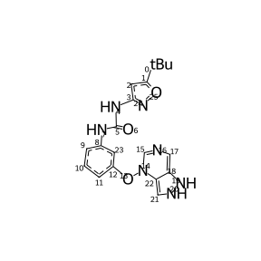 CC(C)(C)c1cc(NC(=O)Nc2cccc(ON3C=NC=C4NNC=C43)c2)no1